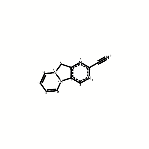 N#Cc1ncc2c(n1)CN1C=CC=CN21